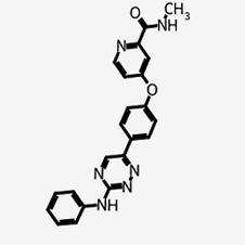 CNC(=O)c1cc(Oc2ccc(-c3cnc(Nc4ccccc4)nn3)cc2)ccn1